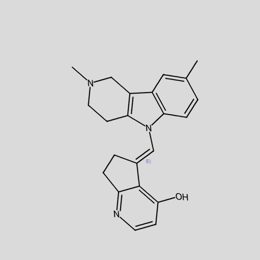 Cc1ccc2c(c1)c1c(n2/C=C2\CCc3nccc(O)c32)CCN(C)C1